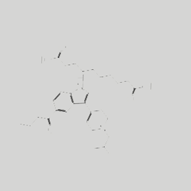 CCCC(=O)c1ccc2[nH]cc(C3=CCN(CC(C)C)CC3)c2c1.O=C(O)CCCCCCCCC(=O)O